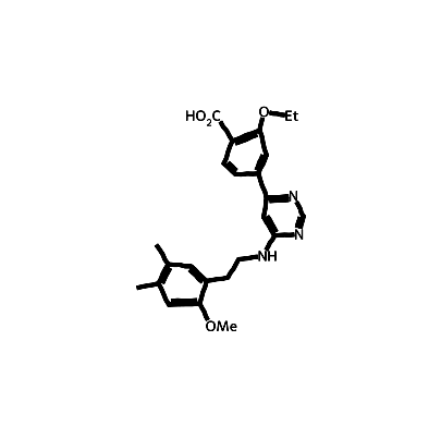 CCOc1cc(-c2cc(NCCc3cc(C)c(C)cc3OC)ncn2)ccc1C(=O)O